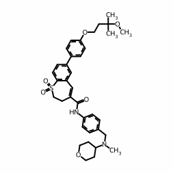 COC(C)(C)CCOc1ccc(-c2ccc3c(c2)C=C(C(=O)Nc2ccc(CN(C)C4CCOCC4)cc2)CCS3(=O)=O)cc1